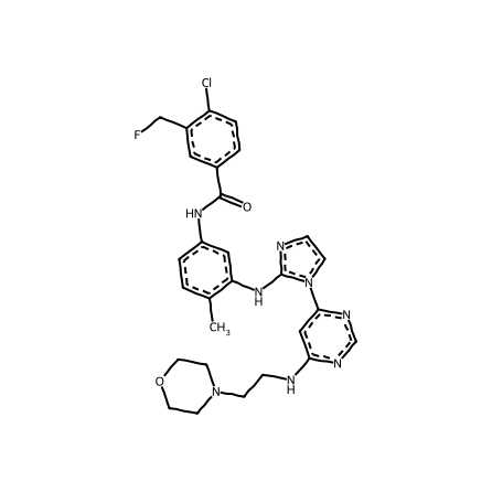 Cc1ccc(NC(=O)c2ccc(Cl)c(CF)c2)cc1Nc1nccn1-c1cc(NCCN2CCOCC2)ncn1